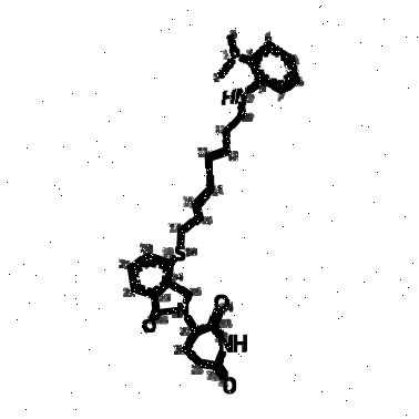 CP(C)c1ccccc1NCCCCCCCCSc1cccc2c1CN(C1CCC(=O)NC1=O)C2=O